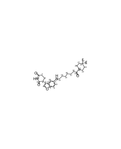 O=C1CCC(c2coc3ccc(NCCCCCCC(=O)N4CCC(F)(F)CC4)cc23)C(=O)N1